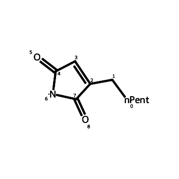 CCCCCCC1=CC(=O)[N]C1=O